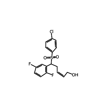 O=S(=O)(c1ccc(Cl)cc1)C(C/C=C\CO)c1cc(F)ccc1F